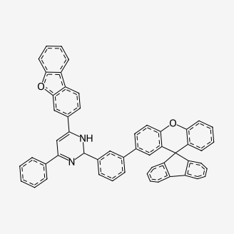 C1=C(c2ccc3c(c2)oc2ccccc23)NC(c2cccc(-c3ccc4c(c3)C3(c5ccccc5O4)c4ccccc4-c4ccccc43)c2)N=C1c1ccccc1